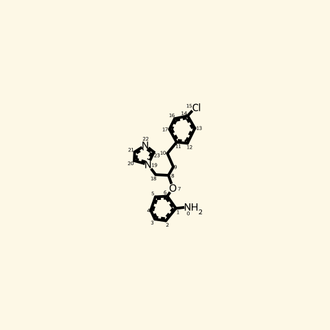 Nc1ccccc1OC(CCc1ccc(Cl)cc1)Cn1ccnc1